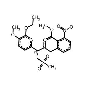 CCOc1nc([C@@H](CS(C)(=O)=O)NCc2cccc([N+](=O)[O-])c2C(=O)OC)ccc1OC